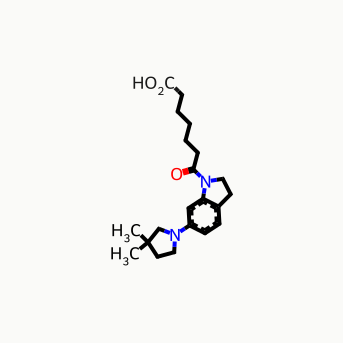 CC1(C)CCN(c2ccc3c(c2)N(C(=O)CCCCCC(=O)O)CC3)C1